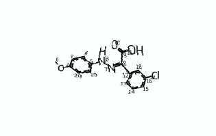 COc1ccc(N/N=C(\C(=O)O)c2cccc(Cl)c2)cc1